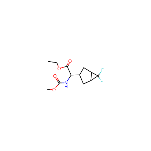 CCOC(=O)C(NC(=O)OC)C1CC2C(C1)C2(F)F